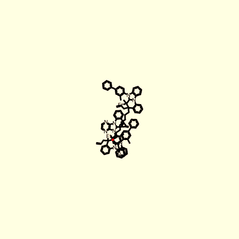 C=CCC1(CCCCC23C(=C)C2(CCCCC2(C)C4N(c5ccc(-c6ccccc6)cc5C)c5cccnc5N4c4ccccc4C2(CC)CC=C)c2ccccc2N2c4nccnc4N(c4ccc(-c5ccccc5)cc4C)C23)c2ccccc2N2c3ccccc3N(c3ccc(-c4ccccc4)cc3C)C2C1(C)CC